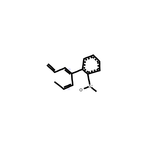 C=C/C=C(\C=C/C)c1ccccc1[S+](C)[O-]